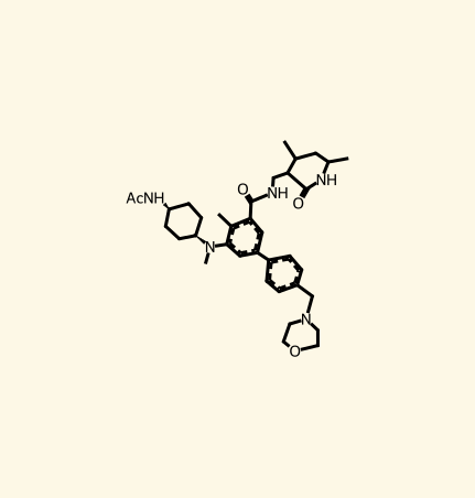 CC(=O)N[C@H]1CC[C@@H](N(C)c2cc(-c3ccc(CN4CCOCC4)cc3)cc(C(=O)NCC3C(=O)NC(C)CC3C)c2C)CC1